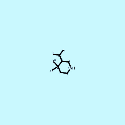 CC(C)C1CNCCC1(I)I